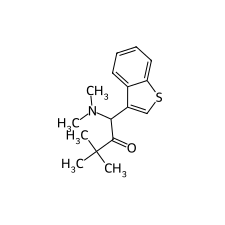 CN(C)C(C(=O)C(C)(C)C)c1csc2ccccc12